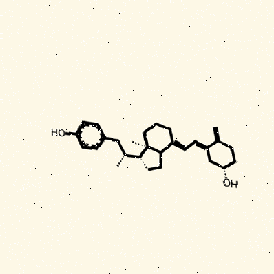 C=C1CC[C@H](O)C/C1=C\C=C1/CCC[C@@]2(C)C1CC[C@@H]2[C@H](C)Cc1ccc(O)cc1